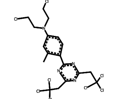 Cc1cc(N(CCCl)CCCl)ccc1-c1nc(CC(Cl)(Cl)Cl)nc(CC(Cl)(Cl)Cl)n1